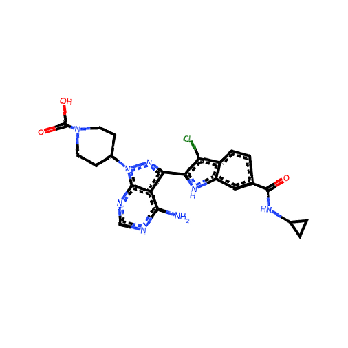 Nc1ncnc2c1c(-c1[nH]c3cc(C(=O)NC4CC4)ccc3c1Cl)nn2C1CCN(C(=O)O)CC1